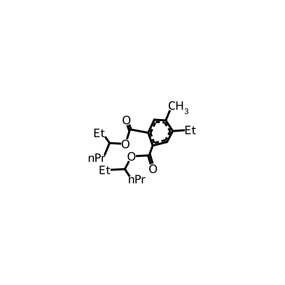 CCCC(CC)OC(=O)c1cc(C)c(CC)cc1C(=O)OC(CC)CCC